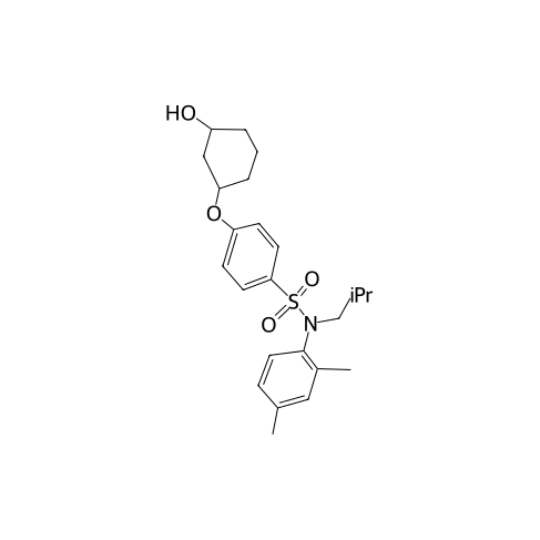 Cc1ccc(N(CC(C)C)S(=O)(=O)c2ccc(OC3CCCC(O)C3)cc2)c(C)c1